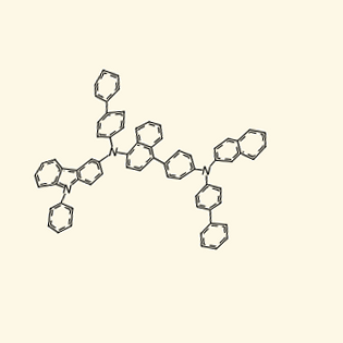 c1ccc(-c2ccc(N(c3ccc(-c4ccc(N(c5ccc(-c6ccccc6)cc5)c5ccc6c(c5)c5ccccc5n6-c5ccccc5)c5ccccc45)cc3)c3ccc4ccccc4c3)cc2)cc1